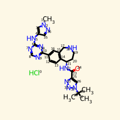 Cl.Cn1cc(Nc2ncnc(-c3ccc4c(c3)CNCC[C@H]4NC(=O)c3cn(C(C)(C)C)nn3)n2)cn1